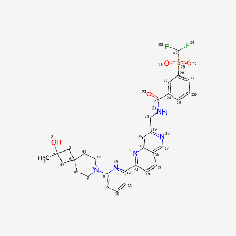 CC1(O)CC2(CCN(c3cccc(-c4ccc5cnc(CNC(=O)c6cccc(S(=O)(=O)C(F)F)c6)cc5n4)n3)CC2)C1